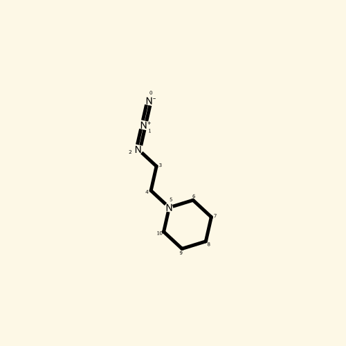 [N-]=[N+]=NCCN1CCCCC1